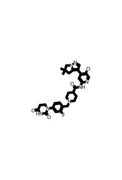 CC1(C)Cc2c(-c3cc(NC(=O)C4CCN(Cc5ccc(N6CCC(=O)NC6=O)cc5F)CC4)ncc3Cl)cnn2C1